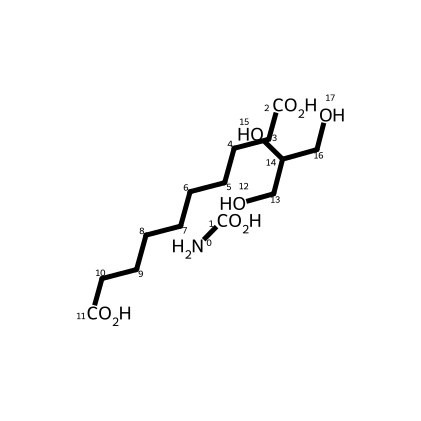 NC(=O)O.O=C(O)CCCCCCCCC(=O)O.OCC(O)CO